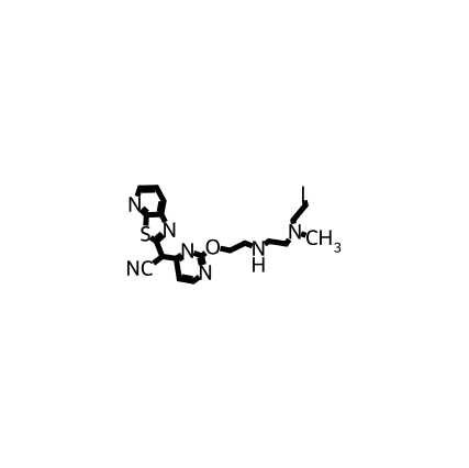 CN(CCI)CCNCCOc1nccc(C(C#N)c2nc3cccnc3s2)n1